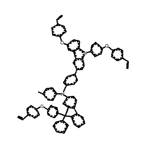 C=Cc1ccc(Oc2ccc(-n3c4ccc(Oc5ccc(C=C)cc5)cc4c4cc(-c5ccc(N(c6ccc(C)cc6)c6ccc7c(c6)C(c6ccccc6)(c6ccc(Oc8ccc(C=C)cc8)cc6)c6ccccc6-7)cc5)ccc43)cc2)cc1